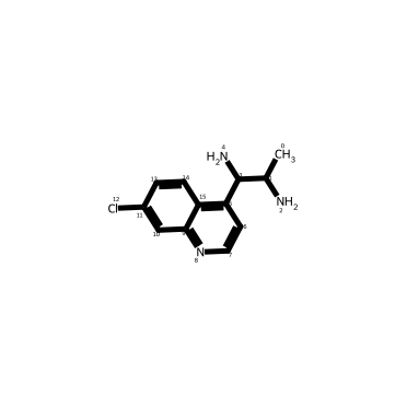 CC(N)C(N)c1ccnc2cc(Cl)ccc12